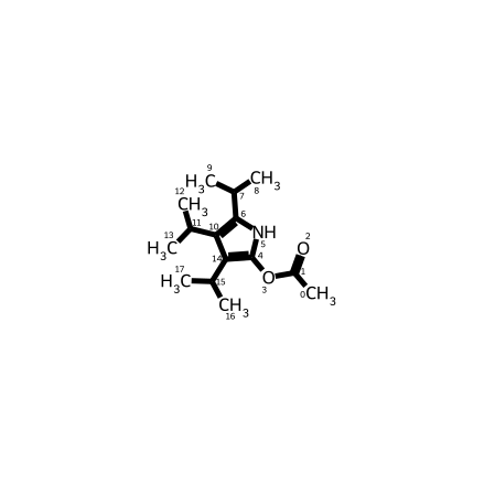 CC(=O)Oc1[nH]c(C(C)C)c(C(C)C)c1C(C)C